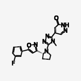 Cn1c(-c2cn[nH]c(=O)c2)nnc1N1CCC[C@@H]1c1cc(-c2cccc(F)c2)on1